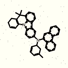 CC1=CC=CC(N(c2ccc3c(c2)c2cccc4c2n3C2=C(CCC=C2)C4(C)C)c2cc3ccccc3c3ccccc23)C1